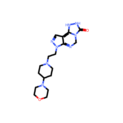 O=C1NNC2=c3cnn(CCN4CCC(N5CCOCC5)CC4)c3=NCN12